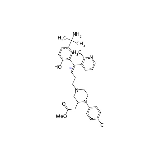 COC(=O)CC1CN(CC/C=C(/c2cc(C(C)(C)N)ccc2O)c2cccnc2C)CCN1c1ccc(Cl)cc1